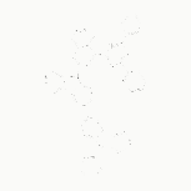 c1ccc(-c2nc(-c3ccccc3)nc(-c3cc(-n4c5ccccc5c5cc(-c6ccc7c(c6)c6ccccc6n7-c6ccccc6)ccc54)cc4ccccc34)n2)cc1